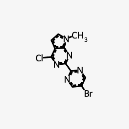 Cn1ccc2c(Cl)nc(-c3ncc(Br)cn3)nc21